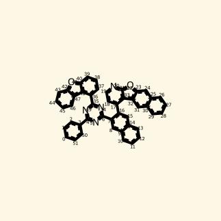 c1ccc(-c2nc(-c3cc4ccccc4cc3-c3ccnc4oc5cc6ccccc6cc5c34)nc(-c3cccc4oc5ccccc5c34)n2)cc1